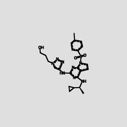 Cc1ccc(S(=O)(=O)n2ccc3c(N[C@@H](C)C4CC4)nc(Nc4cn(CCCO)nn4)nc32)cc1